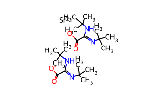 CC(C)(C)N=C(NC(C)(C)C)C(=O)[O-].CC(C)(C)N=C(NC(C)(C)C)C(=O)[O-].[Sr+2]